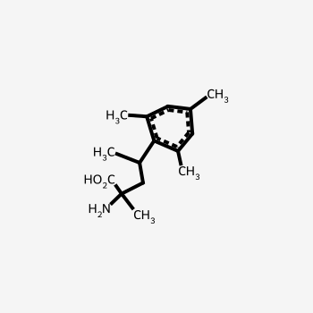 Cc1cc(C)c(C(C)CC(C)(N)C(=O)O)c(C)c1